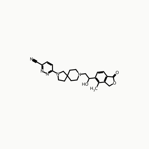 Cc1c(C(O)CN2CCC3(CC2)CCN(c2ccc(C#N)nn2)C3)ccc2c1COC2=O